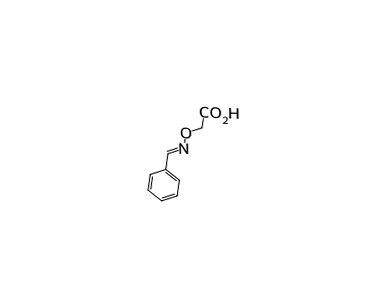 O=C(O)CON=Cc1ccccc1